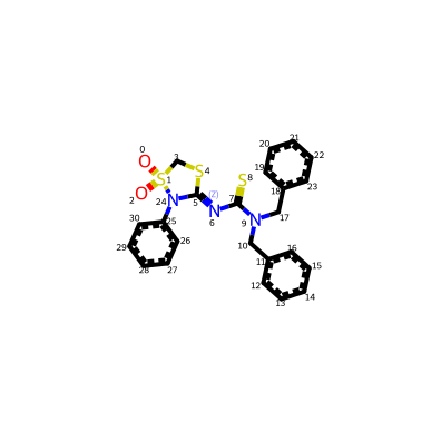 O=S1(=O)CS/C(=N\C(=S)N(Cc2ccccc2)Cc2ccccc2)N1c1ccccc1